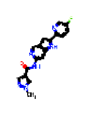 Cn1cc(C(=O)Nc2cc3[nH]c(-c4ccc(F)cn4)cc3cn2)cn1